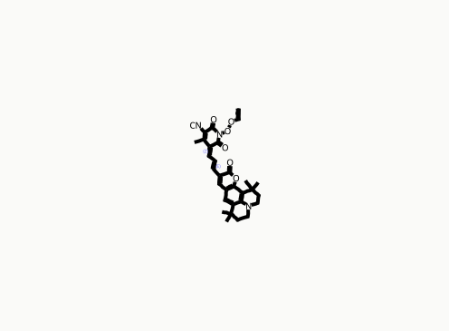 [C-]#[N+]C1=C(C)/C(=C/C=C/c2cc3cc4c5c(c3oc2=O)C(C)(C)CCN5CCC4(C)C)C(=O)N(OOC=C)C1=O